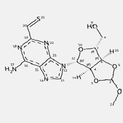 COC1O[C@@H]2[C@H](O1)[C@@H](CO)O[C@H]2n1cnc2c(N)nc(C=S)nc21